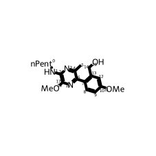 CCCCCNc1nc(C)c(-c2ccc(OC)cc2CO)nc1OC